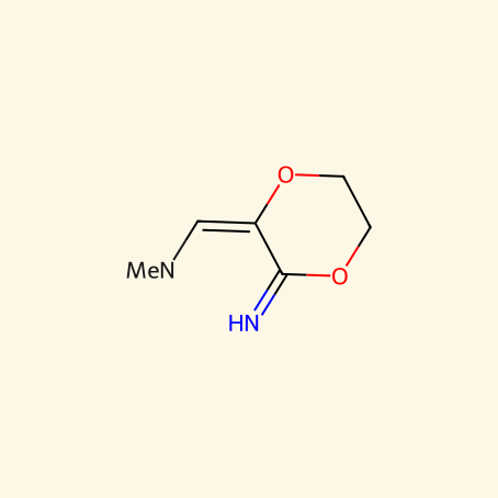 CN/C=C1/OCCOC1=N